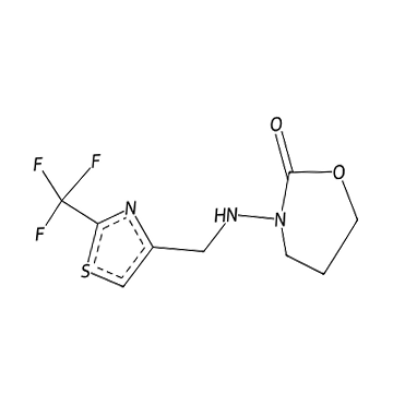 O=C1OCCCN1NCc1csc(C(F)(F)F)n1